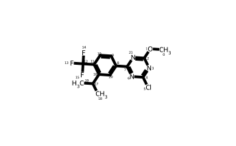 COc1nc(Cl)nc(-c2ccc(C(F)(F)F)c(C(C)C)c2)n1